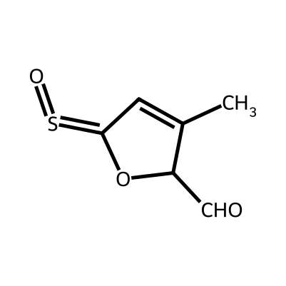 CC1=CC(=S=O)OC1C=O